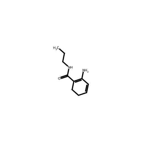 CCCNC(=O)C1=C(N)C=CC[CH]1